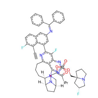 C#Cc1c(F)ccc2cc(N=C(c3ccccc3)c3ccccc3)cc(-c3nc4c5c(nc(OC[C@@]67CCCN6C[C@H](F)C7)nc5c3F)N3C[C@H]5CC[C@@H]([C@H]3CCC4)N5Cc3oc(=O)oc3C(C)C)c12